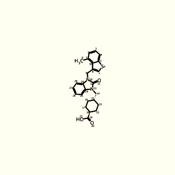 Cc1cccc2scc(Cn3c(=O)n(C[C@H]4CC[C@H](C(=O)O)CC4)c4ccccc43)c12